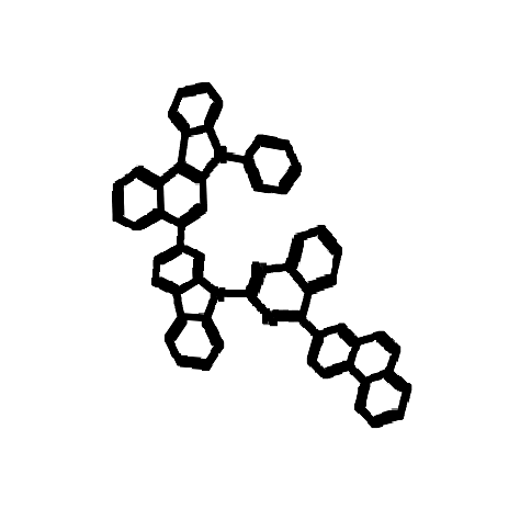 c1ccc(-n2c3ccccc3c3c4ccccc4c(-c4ccc5c6ccccc6n(-c6nc(-c7ccc8c(ccc9ccccc98)c7)c7ccccc7n6)c5c4)cc32)cc1